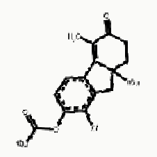 CCCCC12CCC(=O)C(C)=C1c1ccc(OC(=O)C(C)(C)C)c(Cl)c1C2